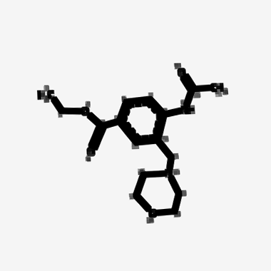 CCOC(=O)c1ccc(NC(C)=O)c(CN2CCOCC2)c1